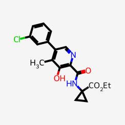 CCOC(=O)C1(NC(=O)c2ncc(-c3cccc(Cl)c3)c(C)c2O)CC1